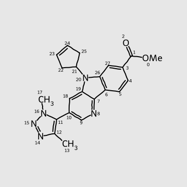 COC(=O)c1ccc2c3ncc(-c4c(C)nnn4C)cc3n(C3CC=CC3)c2c1